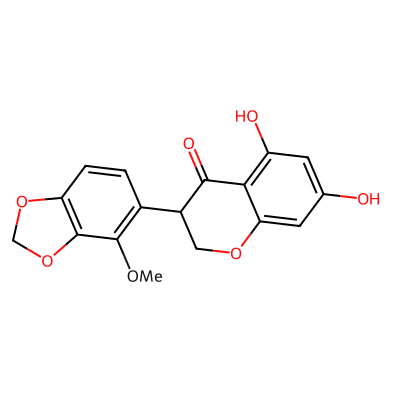 COc1c(C2COc3cc(O)cc(O)c3C2=O)ccc2c1OCO2